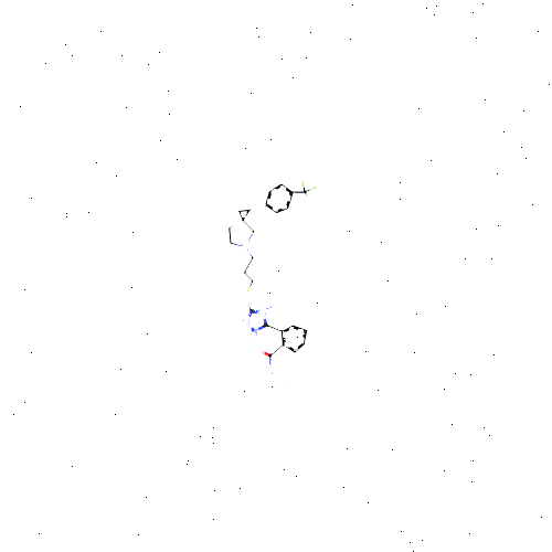 Cn1c(SCCCN2CC[C@]3(C[C@@H]3c3ccc(C(F)(F)F)cc3)C2)nnc1-c1ccccc1C(N)=O